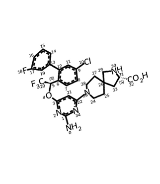 Nc1nc(O[C@H](c2ccc(Cl)cc2-c2cccc(F)c2)C(F)(F)F)cc(N2CCC3(CC2)CN[C@H](C(=O)O)C3)n1